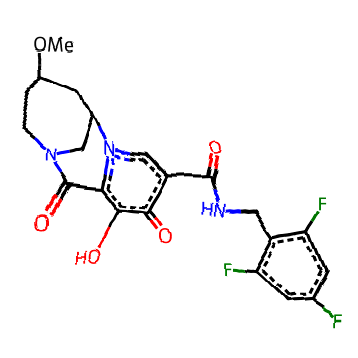 COC1CCN2CC(C1)n1cc(C(=O)NCc3c(F)cc(F)cc3F)c(=O)c(O)c1C2=O